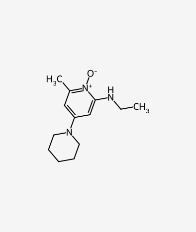 CCNc1cc(N2CCCCC2)cc(C)[n+]1[O-]